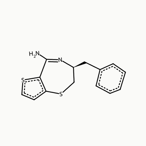 NC1=N[C@@H](Cc2ccccc2)CSc2ccsc21